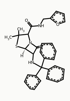 CC1(C)S[C@@H]2C(NC(c3ccccc3)(c3ccccc3)c3ccccc3)C(=O)N2C1C(=O)NCc1ccco1